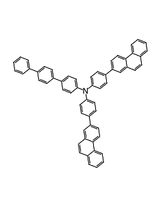 c1ccc(-c2ccc(-c3ccc(N(c4ccc(-c5ccc6c(ccc7ccccc76)c5)cc4)c4ccc(-c5ccc6c(ccc7ccccc76)c5)cc4)cc3)cc2)cc1